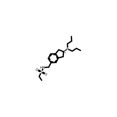 CCCN(CCC)[C@@H]1Cc2ccc(CNS(=O)(=O)CC)cc2C1